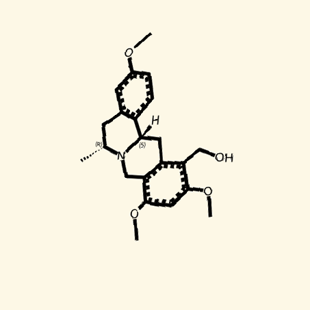 COc1ccc2c(c1)C[C@@H](C)N1Cc3c(OC)cc(OC)c(CO)c3C[C@@H]21